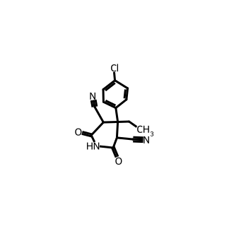 CCC1(c2ccc(Cl)cc2)C(C#N)C(=O)NC(=O)C1C#N